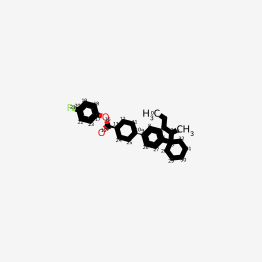 CCCC(C)C1(c2ccc([C@H]3CC[C@H](C(=O)Oc4ccc(F)cc4)CC3)cc2)CCCCC1